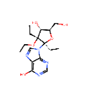 CCO[C@]1(CC)[C@H](O)[C@@H](CO)O[C@@]1(CC)n1cnc2c(O)ncnc21